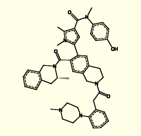 Cc1c(C(=O)N(C)c2ccc(O)cc2)cc(-c2cc3c(cc2C(=O)N2Cc4ccccc4C[C@H]2C)CN(C(=O)Cc2ccccc2N2CCN(C)CC2)CC3)n1C